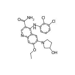 CCOc1cc2ncc(C(N)=O)c(Nc3cccc(Cl)c3Cl)c2cc1N1CCC(O)C1